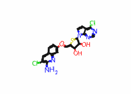 Nc1nc2cc(OCC3SC(n4ccc5c(Cl)ncnc54)C(O)C3O)ccc2cc1Cl